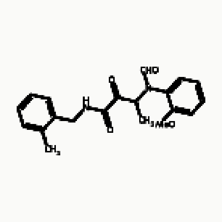 COc1ccccc1N(C=O)C(C)C(=O)C(=O)NCc1ccccc1C